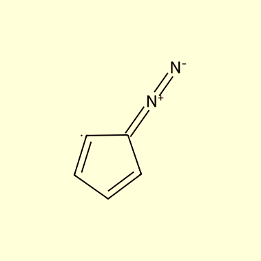 [N-]=[N+]=C1[C]=CC=C1